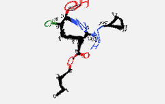 CCCCOC(=O)c1cc(Cl)c(O)nc1NC1CC1